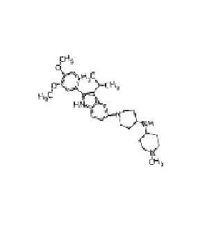 COc1ccc(-c2[nH]c3ccc(N4CCC(NC5CCN(C)CC5)CC4)cc3c2C(C)C)cc1OC